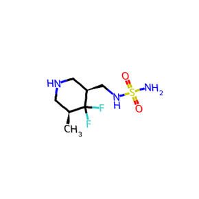 C[C@H]1CNC[C@@H](CNS(N)(=O)=O)C1(F)F